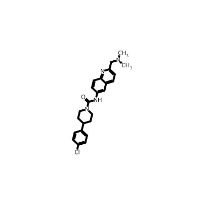 CN(C)Cc1ccc2cc(NC(=O)N3CCC(c4ccc(Cl)cc4)CC3)ccc2n1